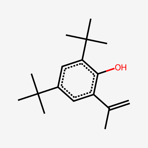 C=C(C)c1cc(C(C)(C)C)cc(C(C)(C)C)c1O